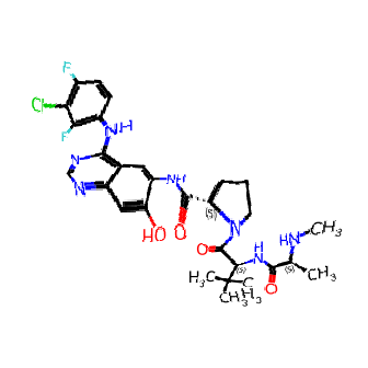 CN[C@@H](C)C(=O)N[C@H](C(=O)N1CCC[C@H]1C(=O)Nc1cc2c(Nc3ccc(F)c(Cl)c3F)ncnc2cc1O)C(C)(C)C